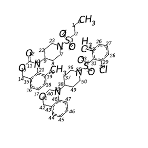 CCCS(=O)(=O)N1CCC(N2C(=O)OCc3cccc(C)c32)CC1.Cc1cccc(Cl)c1S(=O)(=O)N1CCC(N2COCc3ccccc32)CC1